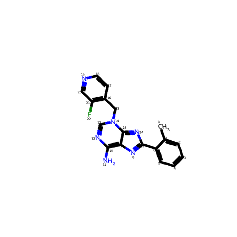 Cc1ccccc1-c1nc2c(N)ncn(Cc3ccncc3F)c-2n1